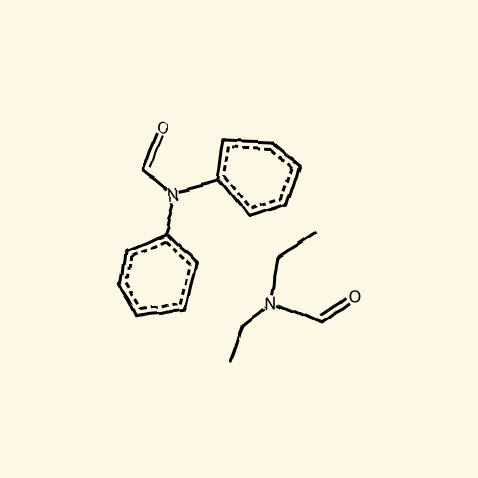 CCN(C=O)CC.O=CN(c1ccccc1)c1ccccc1